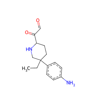 CCC1(c2ccc(N)cc2)CCC(C(=O)C=O)NC1